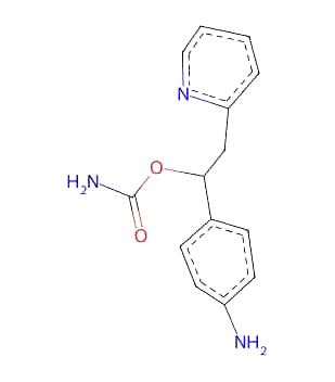 NC(=O)OC(Cc1ccccn1)c1ccc(N)cc1